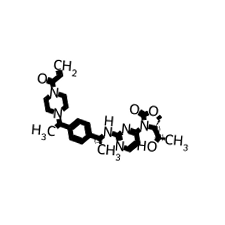 C=CC(=O)N1CCN(C(C)c2ccc([C@H](C)Nc3nccc(N4C(=O)OC[C@@H]4[C@@H](C)O)n3)cc2)CC1